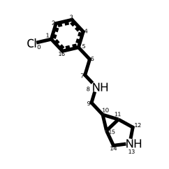 Clc1cccc(CCNCC2C3CNCC23)c1